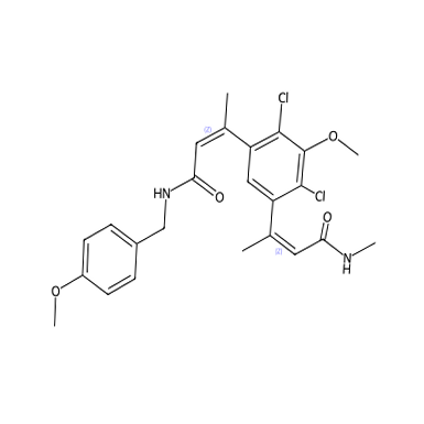 CNC(=O)/C=C(/C)c1cc(/C(C)=C\C(=O)NCc2ccc(OC)cc2)c(Cl)c(OC)c1Cl